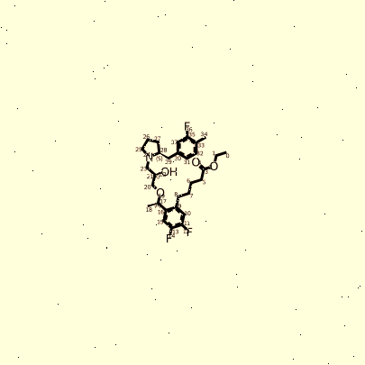 CCOC(=O)CCCCc1cc(F)c(F)cc1[C@@H](C)OC[C@H](O)CN1CCC[C@H]1Cc1ccc(C)c(F)c1